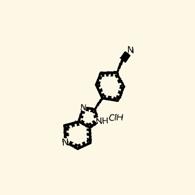 Cl.N#Cc1ccc(-c2nc3cnccc3[nH]2)cc1